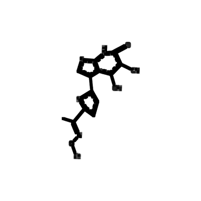 CCON=C(C)c1ccc(-c2csc3[nH]c(=O)c(C#N)c(O)c23)s1